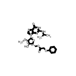 CO[C@@H]1[C@H](O)[C@@H](COC(=O)COc2ccccc2)O[C@H]1n1cnc2c(=O)[nH]c(NC(C)C)nc21